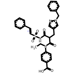 CCN(C(=O)C(Cc1cnn(Cc2ccccc2)c1)C(=O)NS(=O)(=O)/C=C/c1ccccc1)c1ccc(C(=O)O)cc1